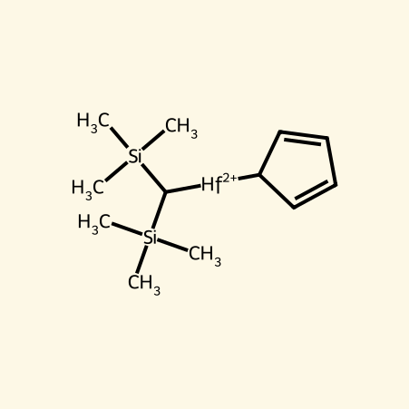 C[Si](C)(C)[CH]([Hf+2][CH]1C=CC=C1)[Si](C)(C)C